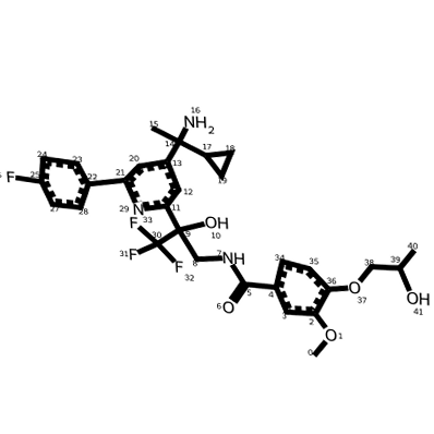 COc1cc(C(=O)NCC(O)(c2cc(C(C)(N)C3CC3)cc(-c3ccc(F)cc3)n2)C(F)(F)F)ccc1OCC(C)O